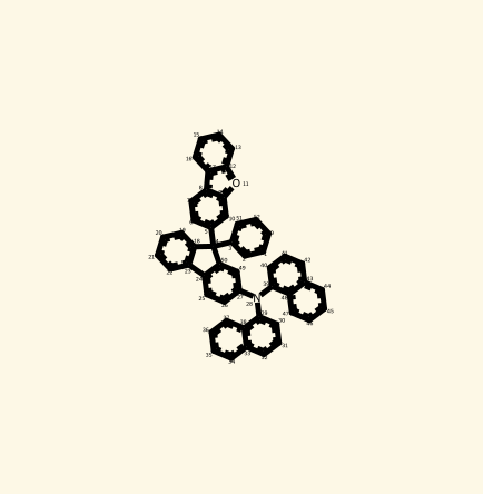 c1ccc(C2(c3ccc4c(c3)oc3ccccc34)c3ccccc3-c3ccc(N(c4cccc5ccccc45)c4cccc5ccccc45)cc32)cc1